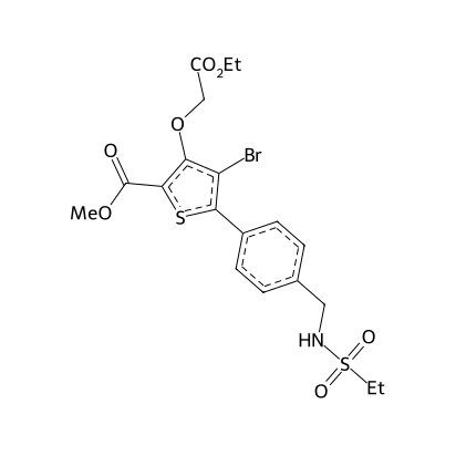 CCOC(=O)COc1c(C(=O)OC)sc(-c2ccc(CNS(=O)(=O)CC)cc2)c1Br